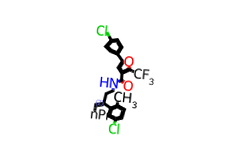 CCC/C=C(/CCNC(=O)c1cc(-c2ccc(Cl)cc2)oc1C(F)(F)F)c1cc(Cl)ccc1C